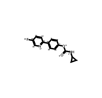 O=C(NC1CC1)Oc1ccc(-c2ccc(F)cn2)cc1